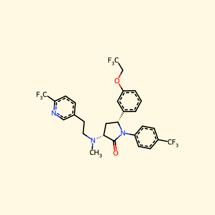 CN(CCc1ccc(C(F)(F)F)nc1)[C@@H]1C[C@H](c2cccc(OCC(F)(F)F)c2)N(c2ccc(C(F)(F)F)cc2)C1=O